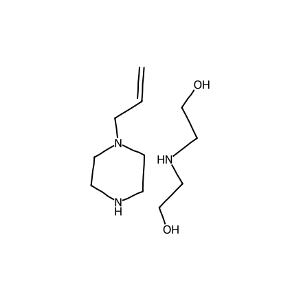 C=CCN1CCNCC1.OCCNCCO